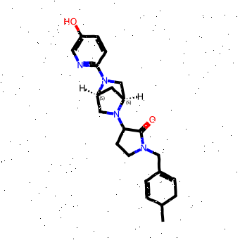 CC1C=CC(CN2CCC(N3C[C@@H]4C[C@H]3CN4c3ccc(O)cn3)C2=O)=CC1